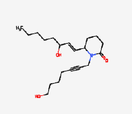 CCCCCC(O)C=CC1CCCC(=O)N1CC#CCCCCO